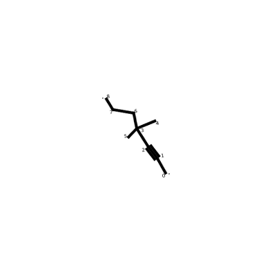 [CH2]C#CC(C)(C)CC[CH2]